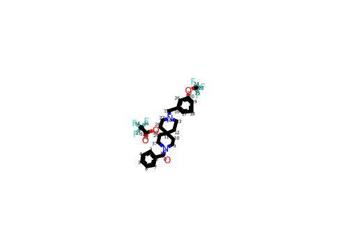 O=C(c1ccccc1)N1CCC2(CCN(Cc3cccc(OC(F)(F)F)c3)CC2)C(OC(=O)C(F)(F)F)C1